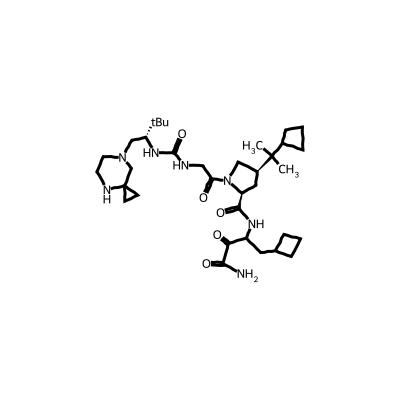 CC(C)(C)[C@@H](CN1CCNC2(CC2)C1)NC(=O)NCC(=O)N1C[C@@H](C(C)(C)C2CCC2)C[C@H]1C(=O)NC(CC1CCC1)C(=O)C(N)=O